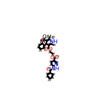 COC(=O)C1=C(C)NC(C)=C(C(=O)OCCOC(=O)c2ccc(NC(=O)c3ccccc3)nc2)C1c1ccccc1[N+](=O)[O-]